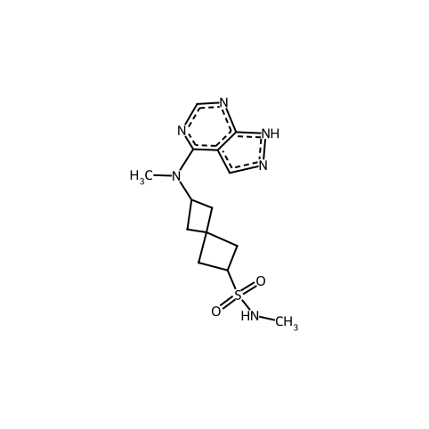 CNS(=O)(=O)C1CC2(CC(N(C)c3ncnc4[nH]ncc34)C2)C1